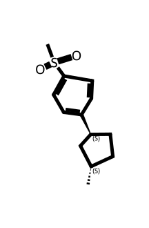 C[C@H]1CC[C@H](c2ccc(S(C)(=O)=O)cc2)C1